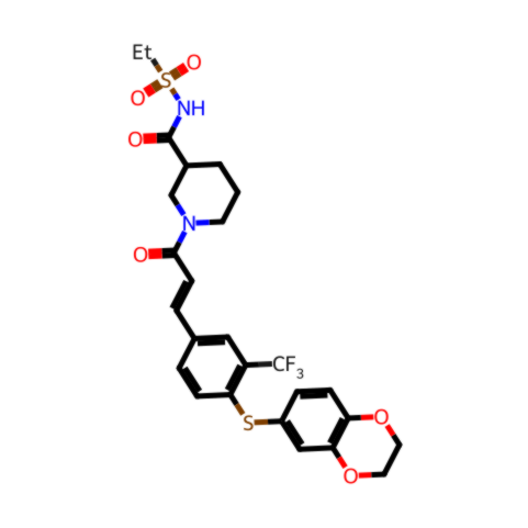 CCS(=O)(=O)NC(=O)C1CCCN(C(=O)C=Cc2ccc(Sc3ccc4c(c3)OCCO4)c(C(F)(F)F)c2)C1